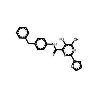 O=C(Nc1ccc(Cc2ccccc2)cc1)c1nc(-c2cccs2)nc(O)c1O